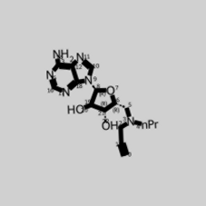 C#CCN(CCC)C[C@H]1O[C@@H](n2cnc3c(N)ncnc32)C(O)[C@H]1O